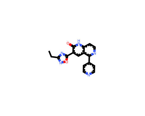 CCc1noc(-c2cc3c(-c4ccncc4)nccc3[nH]c2=O)n1